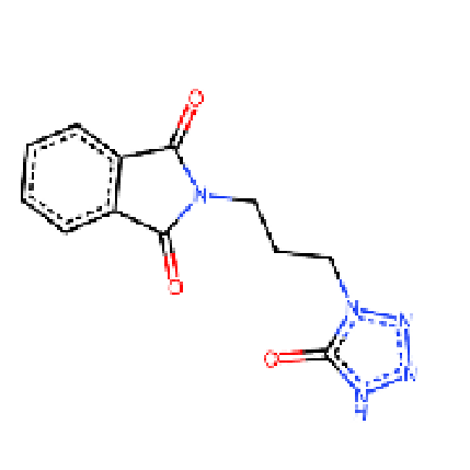 O=C1c2ccccc2C(=O)N1CCCn1nn[nH]c1=O